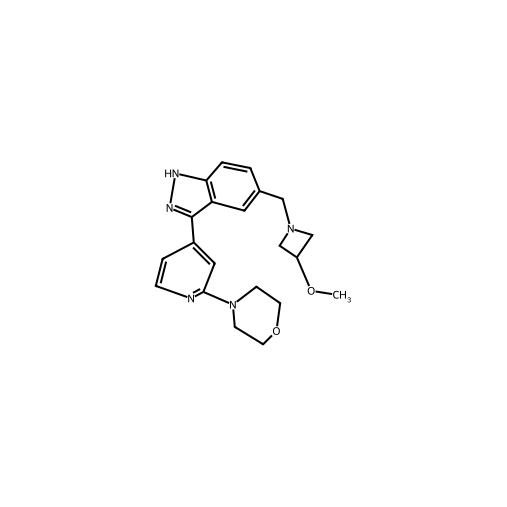 COC1CN(Cc2ccc3[nH]nc(-c4ccnc(N5CCOCC5)c4)c3c2)C1